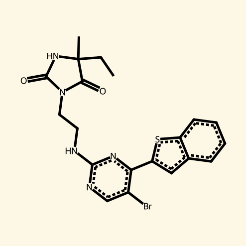 CCC1(C)NC(=O)N(CCNc2ncc(Br)c(-c3cc4ccccc4s3)n2)C1=O